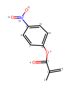 C=C(C)C(=O)Oc1ccc([N+](=O)[O-])cc1